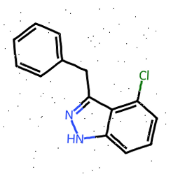 Clc1cccc2[nH]nc(Cc3ccccc3)c12